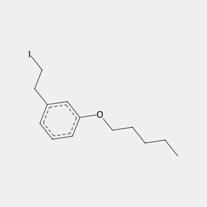 CCCCCOc1cccc(CCI)c1